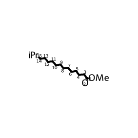 [CH2]OC(=O)CCCCCCCCCCCCC(C)C